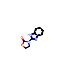 O=C1OCCN1c1nc2ccccc2[nH]1